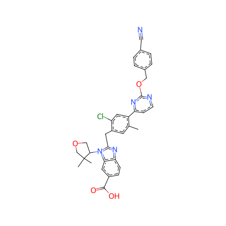 Cc1cc(Cc2nc3ccc(C(=O)O)cc3n2C2COCC2(C)C)c(Cl)cc1-c1ccnc(OCc2ccc(C#N)cc2)n1